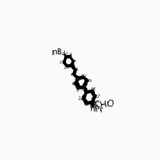 CCCCC1CCC(CCc2ccc(C3CCC(C=O)(CCC)CC3)cc2)CC1